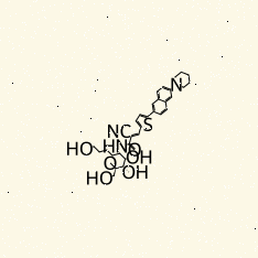 N#C/C(=C\c1ccc(-c2ccc3cc(N4CCCCC4)ccc3c2)s1)C(=O)N[C@H]1C(CCCO)O[C@H](CO)[C@@H](O)[C@@H]1O